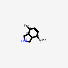 CCC1C=CC(NC)C2CNCC12